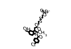 Cc1c(CC(=O)OCCSSCCO[N+](=O)[O-])c2cc(CO)ccc2n1C(=O)c1ccc(Cl)cc1